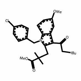 COC(=O)C(C)(C)Cc1c(C(=O)CC(C)(C)C)c2cc(OC)ccc2n1Cc1ccc(Cl)cc1